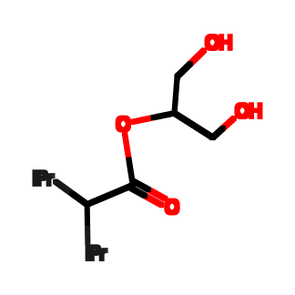 CC(C)C(C(=O)OC(CO)CO)C(C)C